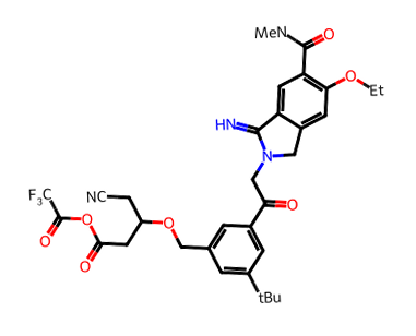 CCOc1cc2c(cc1C(=O)NC)C(=N)N(CC(=O)c1cc(COC(CC#N)CC(=O)OC(=O)C(F)(F)F)cc(C(C)(C)C)c1)C2